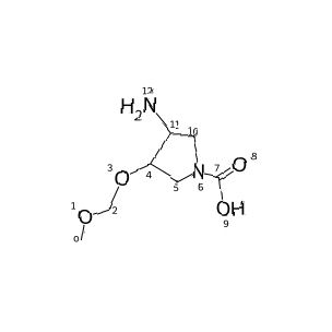 COCOC1CN(C(=O)O)CC1N